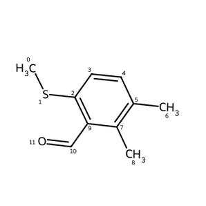 CSc1ccc(C)c(C)c1C=O